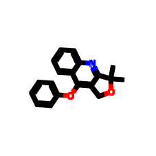 CC1(C)OCc2c1nc1ccccc1c2Oc1ccccc1